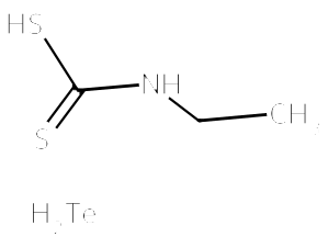 CCNC(=S)S.[TeH2]